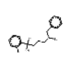 CCN(CCCC(C#N)(c1ccccc1F)C(C)C)Cc1ccccc1